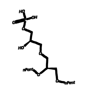 CCCCCOC[C@H](COC[C@@H](O)COP(=O)(O)O)OCCCCC